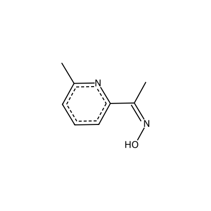 C/C(=N/O)c1cccc(C)n1